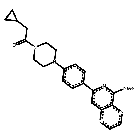 CNc1nc(-c2ccc(N3CCN(C(=O)CC4CC4)CC3)cc2)cc2nccnc12